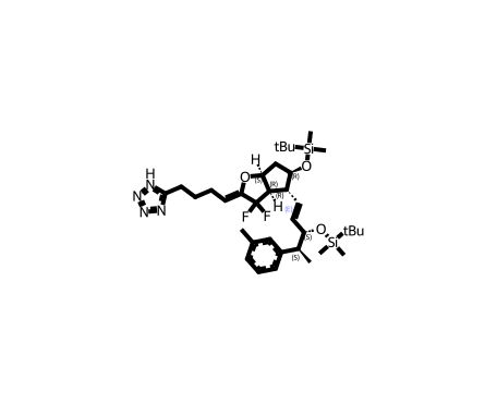 Cc1cccc([C@H](C)[C@H](/C=C/[C@@H]2[C@@H]3[C@H](C[C@H]2O[Si](C)(C)C(C)(C)C)OC(=CCCCc2nnn[nH]2)C3(F)F)O[Si](C)(C)C(C)(C)C)c1